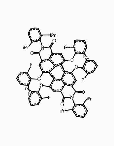 CC(C)c1cccc(C(C)C)c1N1C(=O)c2cc(Oc3c(F)cccc3F)c3c4c(Oc5c(F)cccc5F)cc5c6c(cc(Oc7c(F)cccc7F)c(c7c(Oc8c(F)cccc8F)cc(c2c37)C1=O)c64)C(=O)N(c1c(C(C)C)cccc1C(C)C)C5=O